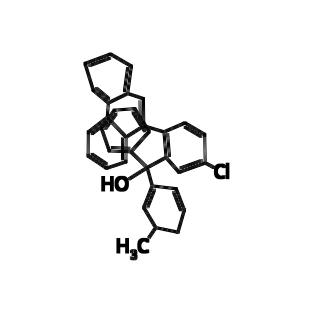 CC1C=C(C(O)(c2ccccc2)c2cc(Cl)ccc2-c2cc3ccccc3c3ccccc23)C=CC1